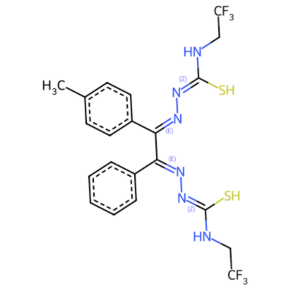 Cc1ccc(C(=N\N=C(/S)NCC(F)(F)F)/C(=N/N=C(\S)NCC(F)(F)F)c2ccccc2)cc1